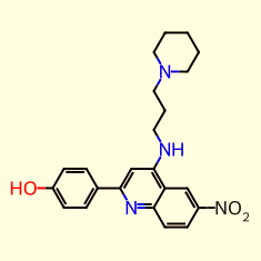 O=[N+]([O-])c1ccc2nc(-c3ccc(O)cc3)cc(NCCCN3CCCCC3)c2c1